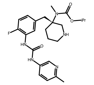 Cc1ccc(NC(=O)Nc2cc(C[C@]3(N(C)C(=O)OC(C)C)CCCNC3)ccc2F)cn1